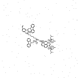 C=Cc1ccc(CN(CCCCCCN(CCNc2ccc3ccc4c(S(=O)(=O)N(CC(C)C)CC(C)C)cc(S(=O)(=O)N(CC(C)C)CC(C)C)c5ccc2c3c45)C(=O)OCC2c3ccccc3-c3ccccc32)C(=O)OCC2c3ccccc3-c3ccccc32)cc1